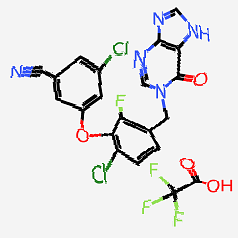 N#Cc1cc(Cl)cc(Oc2c(Cl)ccc(Cn3cnc4nc[nH]c4c3=O)c2F)c1.O=C(O)C(F)(F)F